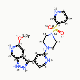 CC(C)Oc1cc2c(-c3ccnc(N4CCN(S(=O)(=O)c5cccnc5)CC4)c3)n[nH]c2cn1